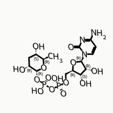 C[C@H]1O[C@H](OP(=O)(O)OP(=O)(O)OC[C@H]2O[C@@H](n3ccc(N)nc3=O)[C@H](O)[C@@H]2O)[C@H](O)C[C@@H]1O